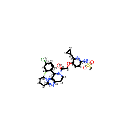 CS(=O)(=O)Nc1ccc(OCC(=O)N2CCc3nc4n(c3C2c2ccc(Cl)cc2F)CCCC4)c(C2CC2)n1